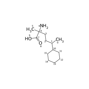 CC(CCC(C)(N)C(=O)O)C1CCCCC1